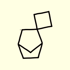 [CH]1C2CCC(C2)C12CCC2